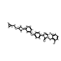 O=c1n(Cc2c(F)cccc2F)cnn1-c1ccc(Oc2ccnc(N3CC(OCC4CC4)C3)c2)cc1